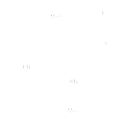 COc1ccccc1NCc1c(-c2cc(F)c(F)cc2OC)ccc2c1C(C)=CC(C)(C)N2